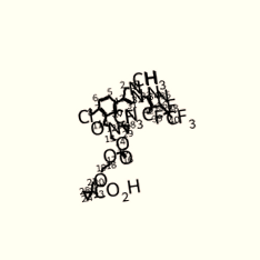 CN1CC(c2ccc(Cl)c(C(=O)N(COC(=O)OCCOCC3(C(=O)O)CC3)C3(C#N)CC3)c2)=CN1c1[nH]nc(C(F)(F)C(F)(F)F)c1C(F)(F)F